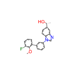 COc1c(F)cccc1-c1cccc(-n2cnc3cc([C@@H](C)O)ccc32)c1